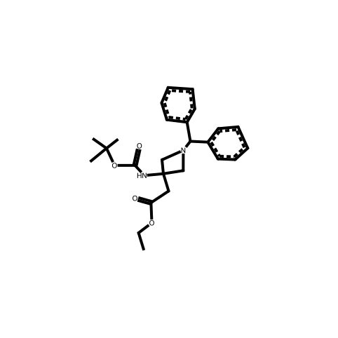 CCOC(=O)CC1(NC(=O)OC(C)(C)C)CN(C(c2ccccc2)c2ccccc2)C1